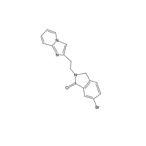 O=C1c2cc(Br)ccc2CN1CCc1cn2ccccc2n1